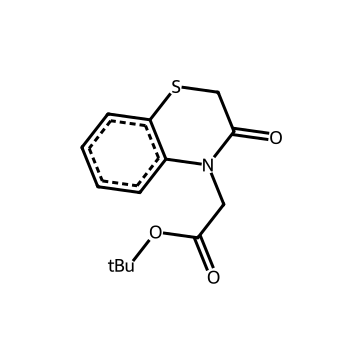 CC(C)(C)OC(=O)CN1C(=O)CSc2ccccc21